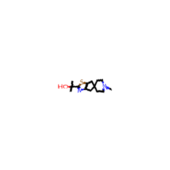 CN1CCC2(CC1)Cc1nc(C(C)(C)O)sc1C2